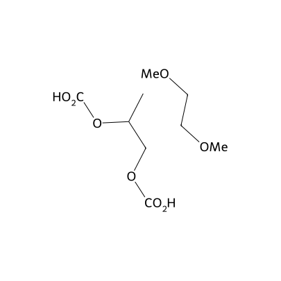 CC(COC(=O)O)OC(=O)O.COCCOC